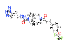 O=C(CCc1ccc(OC(F)(F)F)cc1)N1CC[C@@H]2CN(C(=O)NCCc3cnn[nH]3)C[C@@H]2CC1